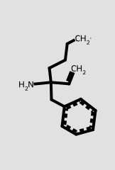 [CH2]CCCC(N)(C=C)Cc1ccccc1